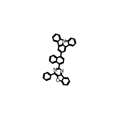 c1ccc(-c2nc(-c3ccc(-c4cc5c6ccccc6n6c7ccccc7c(c4)c56)c4ccccc34)nc3c2oc2ccccc23)cc1